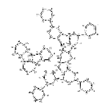 c1ccc(-c2ccc3c(c2)c2cc(-c4ccccc4)cc4c5cc6c7cc(-c8ccccc8)cc8c9cc(-c%10ccccc%10)ncc9n(c6c(-c6ccc9c(c6)c6cccc%10c%11ccccc%11n9c%106)c5n3c24)c87)cc1